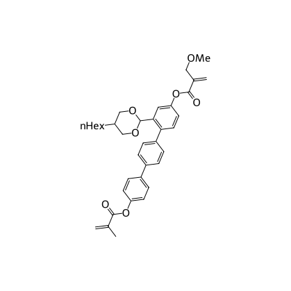 C=C(C)C(=O)Oc1ccc(-c2ccc(-c3ccc(OC(=O)C(=C)COC)cc3C3OCC(CCCCCC)CO3)cc2)cc1